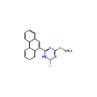 CCCCCCOC1=NC(Cl)NC(C2=CC3C=CC=CC3C3C=CCCC23)=N1